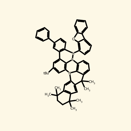 CC(C)(C)c1cc2c3c(c1)N1c4cc5c(cc4C(C)(C)c4cccc(c41)B3N(c1cccc3c1oc1ccccc13)c1ccc(-c3ccccc3)cc1-2)C(C)(C)CCC5(C)C